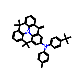 C=C1c2cccc3c2N2c4c1cc(N(c1ccc(C)cc1)c1ccc(C(C)(C)C)cc1)cc4C(C)(C)c1cccc(c12)C3(C)C